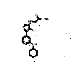 COC(=O)CNc1csc(-c2cccc(NC3CCCCC3)c2)c1Cl